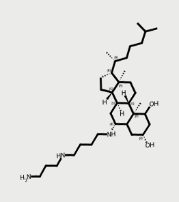 CC(C)CCC[C@@H](C)[C@H]1CC[C@H]2[C@@H]3C[C@@H](NCCCCNCCCN)C4C[C@@H](O)CC(O)[C@]4(C)[C@H]3CC[C@]12C